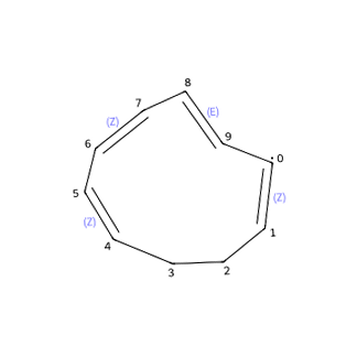 [C]1=C/CC\C=C/C=C\C=C\1